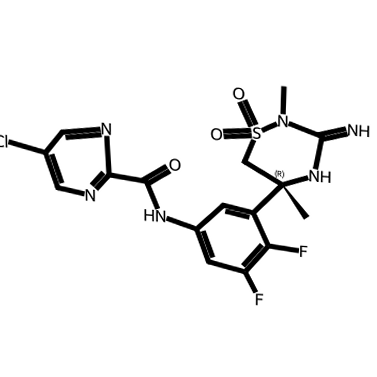 CN1C(=N)N[C@](C)(c2cc(NC(=O)c3ncc(Cl)cn3)cc(F)c2F)CS1(=O)=O